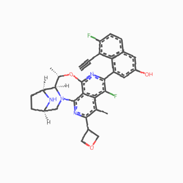 C#Cc1c(F)ccc2cc(O)cc(-c3nc4c5c(nc(C6COC6)c(C)c5c3F)N3C[C@H]5CC[C@H](N5)[C@H]3[C@H](C)O4)c12